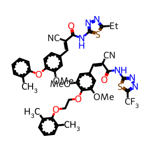 CCc1nnc(NC(=O)/C(C#N)=C/c2ccc(Oc3ccccc3C)c(OC)c2)s1.COc1cc(/C=C(/C#N)C(=O)Nc2nnc(C(F)(F)F)s2)cc(OC)c1OCCOc1c(C)cccc1C